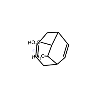 O=C(O)C1C2C=CC(C/C=C\C2)C1C(=O)O